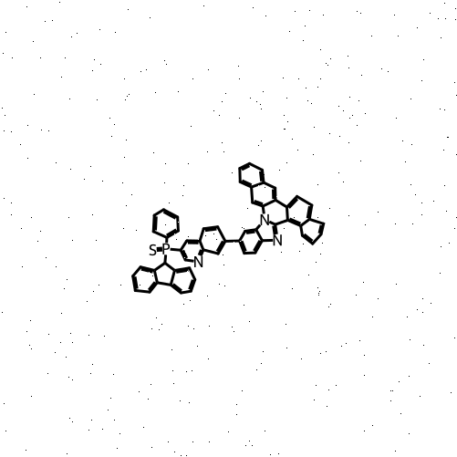 S=P(c1ccccc1)(c1cnc2cc(-c3ccc4nc5c6c7ccccc7ccc6c6cc7ccccc7cc6n5c4c3)ccc2c1)C1c2ccccc2-c2ccccc21